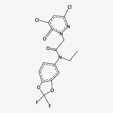 CCN(C(=O)Cn1nc(Cl)cc(Cl)c1=O)c1ccc2c(c1)OC(F)(F)O2